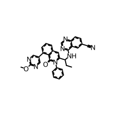 CCC(Nc1ncnc2ccc(C#N)cc12)c1cc2cccc(-c3cnc(OC)nc3)c2c(=O)n1-c1ccccc1